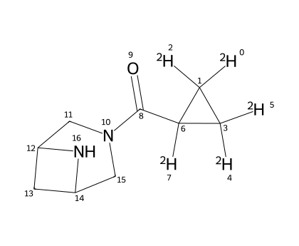 [2H]C1([2H])C([2H])([2H])C1([2H])C(=O)N1CC2CC(C1)N2